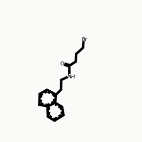 O=C(CCCBr)NCCc1cccc2ccccc12